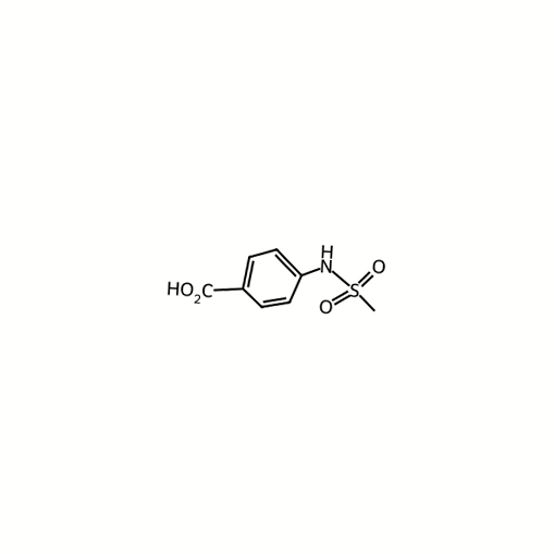 CS(=O)(=O)Nc1ccc(C(=O)O)cc1